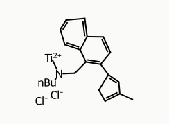 CCCC[N]([Ti+2])Cc1c(C2=CC(C)=CC2)ccc2ccccc12.[Cl-].[Cl-]